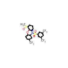 C[S+]([O-])c1ccccc1Oc1ccc(C(F)(F)F)cc1NS(=O)(=O)c1cc(C(F)(F)F)cc(C(F)(F)F)c1